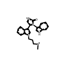 CN(C)CCCn1cc(-c2c[nH]c(=O)n2-c2c[nH]c3ccccc23)c2ccccc21